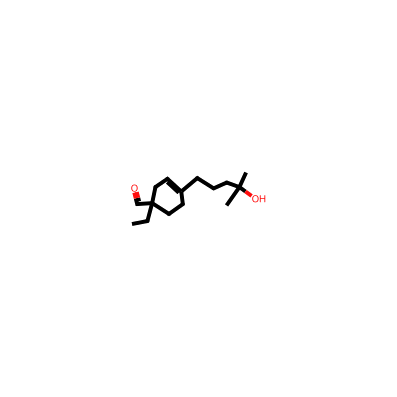 CCC1(C=O)CC=C(CCCC(C)(C)O)CC1